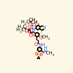 CNCc1cc(NC(=O)CCc2cc(C(C(=O)O)N(c3ccc4cncc(F)c4c3)N(C(=O)OC(C)(C)C)C(=O)OC(C)(C)C)ccc2OC)ccc1S(=O)(=O)C1CC1